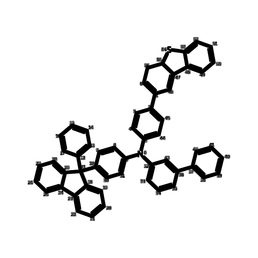 C1=C(c2ccc(N(c3ccc(C4(c5ccccc5)c5ccccc5-c5ccccc54)cc3)c3cccc(-c4ccccc4)c3)cc2)C=C2c3ccccc3SC2C1